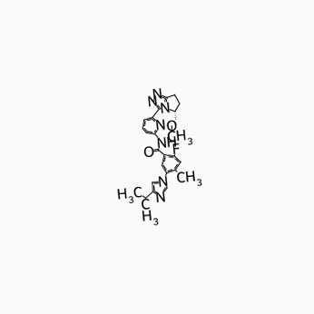 COC[C@H]1CCc2nnc(-c3cccc(NC(=O)c4cc(-n5cnc(C(C)C)c5)c(C)cc4F)n3)n21